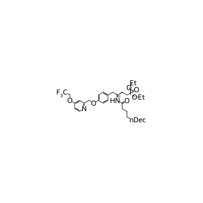 CCCCCCCCCCCCCC(=O)N[C@H](CCP(=O)(OCC)OCC)Cc1ccc(OCc2cc(OCC(F)(F)F)ccn2)cc1